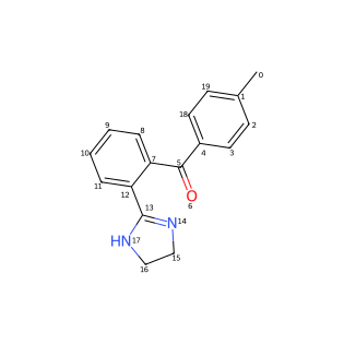 Cc1ccc(C(=O)c2ccccc2C2=NCCN2)cc1